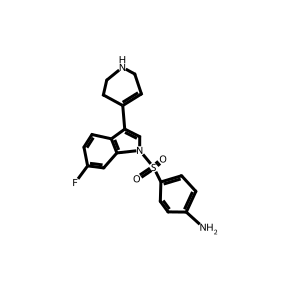 Nc1ccc(S(=O)(=O)n2cc(C3=CCNCC3)c3ccc(F)cc32)cc1